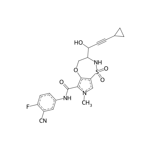 Cn1cc2c(c1C(=O)Nc1ccc(F)c(C#N)c1)OCC(C(O)C#CC1CC1)NS2(=O)=O